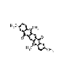 Cc1ccc2c(c1)c(=O)c1cc3c(cc1n2C)c(=O)c1cc(C)ccc1n3C